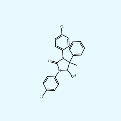 CC1(c2ccccc2)C(O)N(c2ccc(Cl)cc2)C(=O)N1c1ccc(Cl)cc1